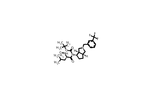 CN[C@H](CC(C)C)C(=O)N(C(=O)OC(C)(C)C)[C@@H]1CC[C@H]2CN(Cc3cccc(C(F)(F)F)c3)C[C@H]21